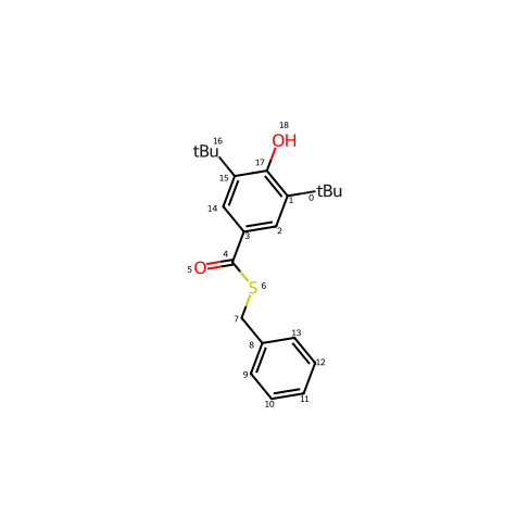 CC(C)(C)c1cc(C(=O)SCc2ccccc2)cc(C(C)(C)C)c1O